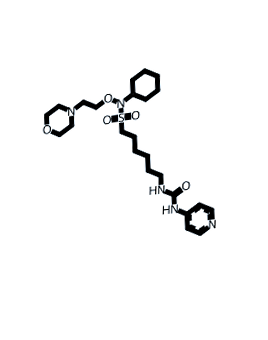 O=C(NCCCCCCS(=O)(=O)N(OCCN1CCOCC1)C1CCCCC1)Nc1ccncc1